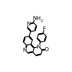 Nc1ccc(-c2ccc3ncc4ccc(=O)n(-c5ccc(F)cc5)c4c3c2)cn1